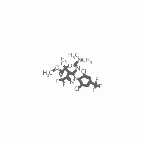 COC(=O)C(C)(O)c1c(C(F)(F)F)nn(-c2c(Cl)cc(C(F)(F)F)cc2Cl)c1N=CN(C)C